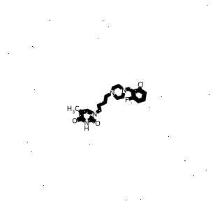 Cc1cn(CCCCN2CCN(Cc3c(F)cccc3Cl)CC2)c(=O)[nH]c1=O